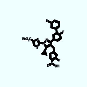 CCOC(=O)c1csc(-n2nc(-c3ccc(F)c(-c4cccc(F)c4)c3)c(Cc3ccc(S(=O)O)c(F)c3)c2C2CC2)n1